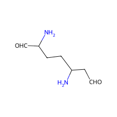 NC(C=O)CCC(N)CC=O